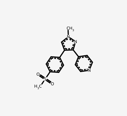 Cn1cc(-c2ccc(S(C)(=O)=O)cc2)c(-c2ccncc2)n1